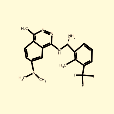 Cc1c([C@@H](N)Nc2nnc(C)c3ccc(N(C)C)cc23)cccc1C(F)(F)F